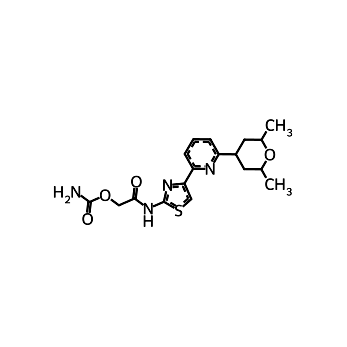 CC1CC(c2cccc(-c3csc(NC(=O)COC(N)=O)n3)n2)CC(C)O1